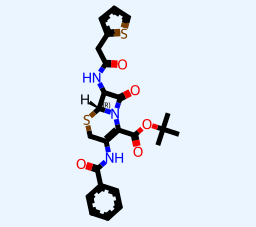 CC(C)(C)OC(=O)C1=C(NC(=O)c2ccccc2)CS[C@@H]2C(NC(=O)Cc3cccs3)C(=O)N12